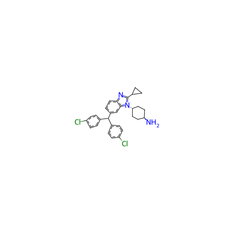 N[C@H]1CC[C@H](n2c(C3CC3)nc3ccc(C(c4ccc(Cl)cc4)c4ccc(Cl)cc4)cc32)CC1